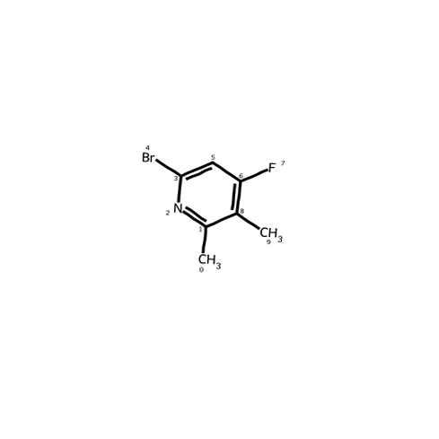 Cc1nc(Br)cc(F)c1C